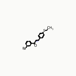 CCSc1ccc(/C=C/C(=O)c2cccc(Br)c2)cc1